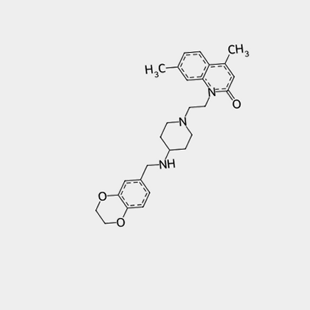 Cc1ccc2c(C)cc(=O)n(CCN3CCC(NCc4ccc5c(c4)OCCO5)CC3)c2c1